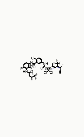 C#C/C(F)=C(\C=C(/C)[C@H]1[C@H](C(=O)Nc2ccc(Cl)c(C(=O)Nc3ccc(F)c(NC(=O)CC(C)C(F)(F)F)c3F)c2)C1(Cl)Cl)C(F)(F)F